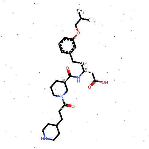 CC(C)COc1cccc(C[AsH][C@H](CC(=O)O)NC(=O)[C@@H]2CCCN(C(=O)CCC3CCNCC3)C2)c1